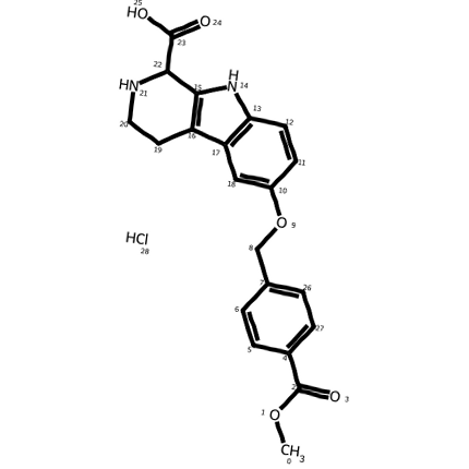 COC(=O)c1ccc(COc2ccc3[nH]c4c(c3c2)CCNC4C(=O)O)cc1.Cl